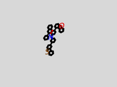 c1cc(-c2ccc3sc4ccccc4c3c2)cc(N(c2ccc(-c3cccc4oc5ccccc5c34)cc2)c2ccccc2-c2ccc3ccccc3c2)c1